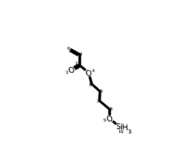 C=CC(=O)OCCCCO[SiH3]